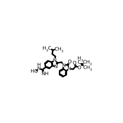 CC(C)CCn1c(Cn2c(=O)n(CC(=O)OC(C)(C)C)c3ccccc32)nc2cc(C(=N)NO)ccc21